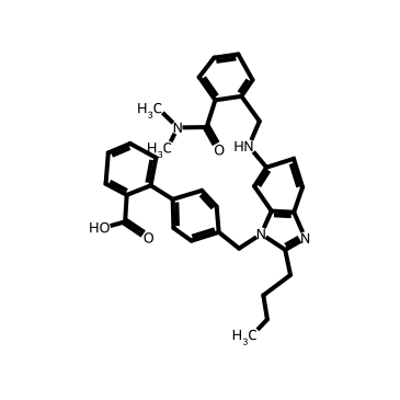 CCCCc1nc2ccc(NCc3ccccc3C(=O)N(C)C)cc2n1Cc1ccc(-c2ccccc2C(=O)O)cc1